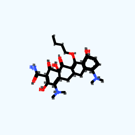 CCCCOC1=C2C(=O)C3(O)C(=O)C(C(N)=O)=C(O)C(N(C)C)=C3CC2Cc2c(N(C)C)ccc(O)c21